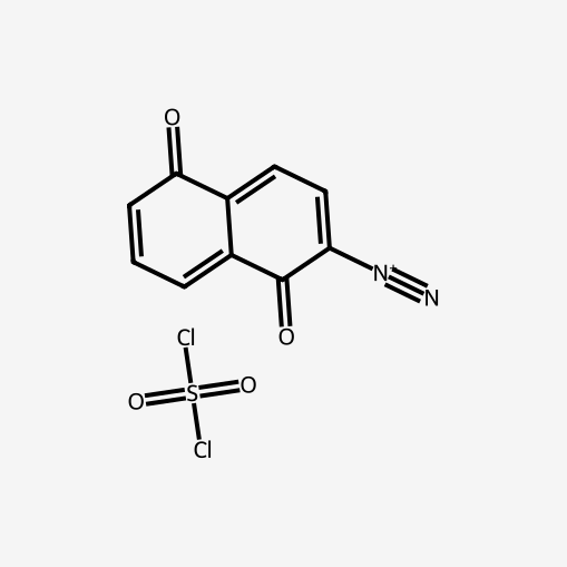 N#[N+]C1=CC=C2C(=O)C=CC=C2C1=O.O=S(=O)(Cl)Cl